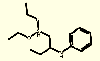 CCO[SiH](CC(CC)Nc1ccccc1)OCC